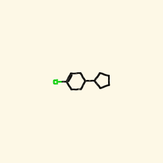 ClC1=CCC(C2CCCC2)CC1